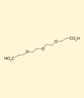 O=C(O)CCOCCOCCOCCC(=O)O